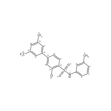 Cc1cccc(NS(=O)(=O)c2ccc(-c3cc(C(F)(F)F)cc(C(F)(F)F)c3)cc2Cl)c1